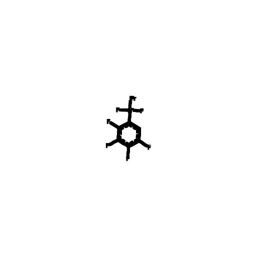 CC(C)[N+](F)(F)c1cc(F)c(F)c(F)c1F